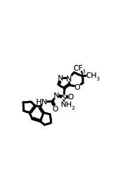 C[C@]1(C(F)(F)F)COc2c([S@@](N)(=O)=NC(=O)Nc3c4c(cc5c3CCC5)CCC4)cnn2C1